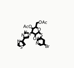 CC(=O)OCC1OC(Sc2cncc(Br)c2)C(OC(C)=O)C(n2cc(-c3cscn3)nn2)C1OC(C)=O